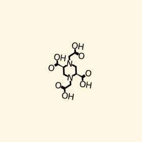 O=C(O)CN1C[C@@H](C(=O)O)N(CC(=O)O)C[C@H]1C(=O)O